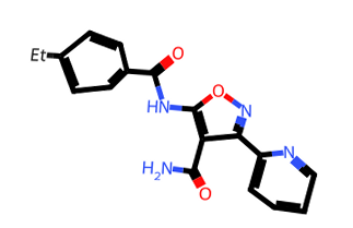 CCc1ccc(C(=O)Nc2onc(-c3ccccn3)c2C(N)=O)cc1